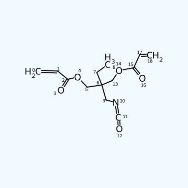 C=CC(=O)OCC(CC)(CN=C=O)COC(=O)C=C